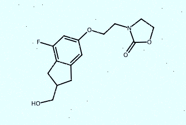 O=C1OCCN1CCOc1cc(F)c2c(c1)CC(CO)C2